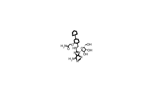 NC(=O)COc1cc(-c2ccccc2)ccc1CNc1nc2c(N)ncnc2n1[C@@H]1O[C@H](CO)[C@@H](O)[C@H]1O